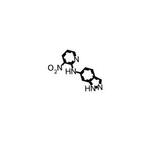 O=[N+]([O-])c1cccnc1Nc1ccc2cn[nH]c2c1